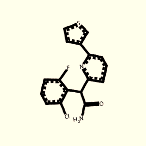 NC(=O)C(c1cccc(-c2ccsc2)n1)c1c(F)cccc1Cl